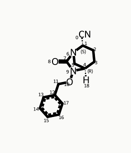 N#C[C@@H]1CC[C@@H]2CN1C(=O)N2OCc1ccccc1